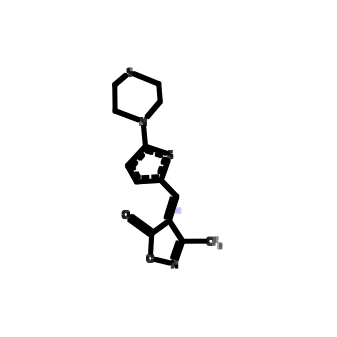 O=C1ON=C(C(F)(F)F)/C1=C/c1ccc(N2CCSCC2)s1